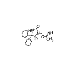 CC(=N)OCN1C(=O)NC(c2ccccc2)(c2ccccc2)C1=O